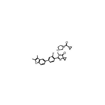 Cc1oc2ccc(-c3ccc(C4=NC5(CC5)C(=O)N4C[C@@H]4CCN(C(=O)C5CC5)C4)c(F)c3)cc2c1C